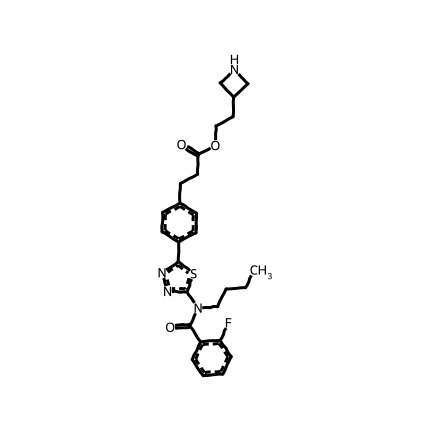 CCCCN(C(=O)c1ccccc1F)c1nnc(-c2ccc(CCC(=O)OCCC3CNC3)cc2)s1